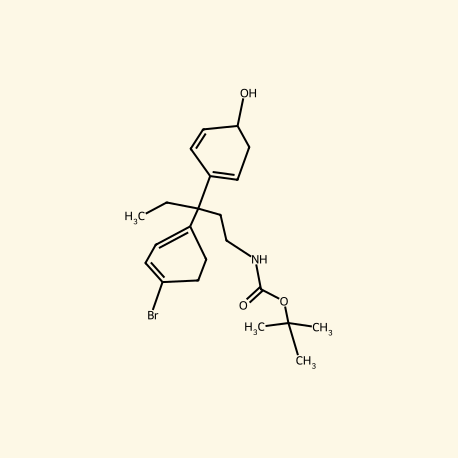 CCC(CCNC(=O)OC(C)(C)C)(C1=CCC(O)C=C1)C1=CC=C(Br)CC1